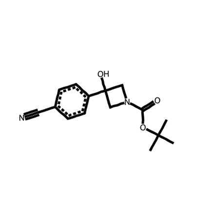 CC(C)(C)OC(=O)N1CC(O)(c2ccc(C#N)cc2)C1